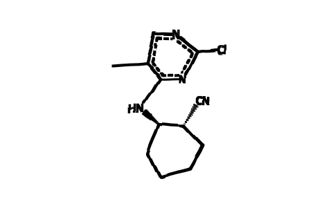 Cc1cnc(Cl)nc1N[C@@H]1CCCC[C@H]1C#N